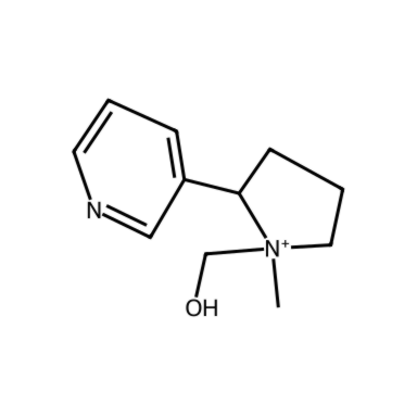 C[N+]1(CO)CCCC1c1cccnc1